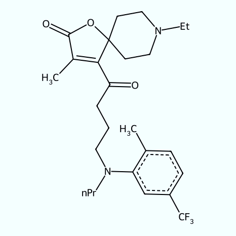 CCCN(CCCC(=O)C1=C(C)C(=O)OC12CCN(CC)CC2)c1cc(C(F)(F)F)ccc1C